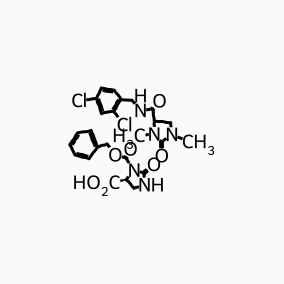 CN1CC(C(=O)NCc2ccc(Cl)cc2Cl)N(C)C1=O.O=C(O)[C@@H]1CNC(=O)N1C(=O)OCc1ccccc1